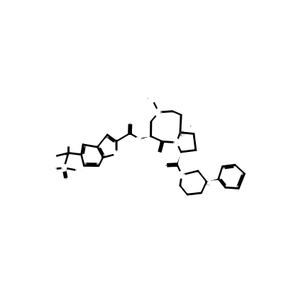 CC(=O)N1CC[C@H]2CC[C@@H](C(=O)N3CCC[C@H](c4ccccc4)C3)N2C(=O)[C@@H](NC(=O)c2cc3cc(C(F)(F)P(=O)(O)O)ccc3s2)C1